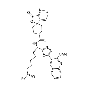 CCC(=O)CCCCC[C@@H](NC(=O)C1CCC2(CC1)OC(=O)c1ncccc12)c1nnc(-c2cc3ccccc3nc2OC)o1